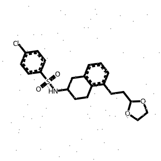 O=S(=O)(NC1CCc2c(CCC3OCCO3)cccc2C1)c1ccc(Cl)cc1